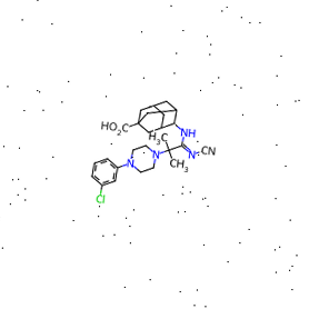 CC(C)(/C(=N/C#N)NC1C2CC3CC1CC(C(=O)O)(C3)C2)N1CCN(c2cccc(Cl)c2)CC1